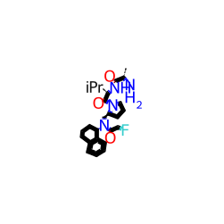 CC(C)[C@H](NC(=O)[C@H](C)N)C(=O)N1CCC[C@H]1CN(C(=O)CF)[C@H]1CCCc2ccccc21